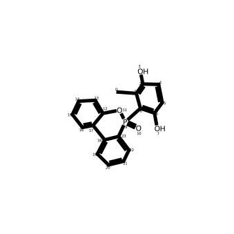 Cc1c(O)ccc(O)c1P1(=O)Oc2ccccc2-c2ccccc21